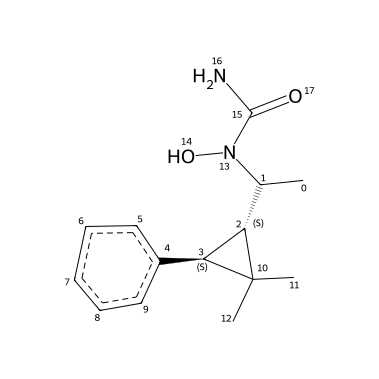 CC([C@H]1[C@H](c2ccccc2)C1(C)C)N(O)C(N)=O